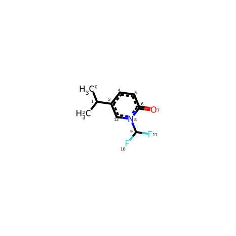 CC(C)c1ccc(=O)n(C(F)F)c1